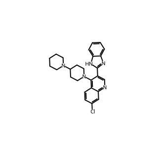 Clc1ccc2c(N3CCC(N4CCCCC4)CC3)c(-c3nc4ccccc4[nH]3)cnc2c1